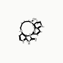 CN1CCCCOc2ccnc3[nH]c(=O)n(c23)-c2ccc3nccc1c3n2